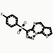 O=S(=O)(c1ccc(F)cc1)c1nnn2c1ncc1ccsc12